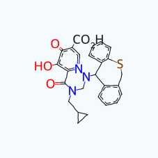 O=C(O)c1cn2c(c(O)c1=O)C(=O)N(CC1CC1)CN2C1c2ccccc2CSc2ccccc21